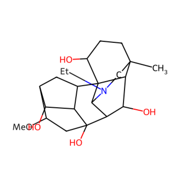 CCN1CC2(C)CCC(O)C34C5CC6C(OC)CC(O)(C5C6O)C(C(O)C23)C14